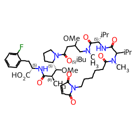 CC[C@H](C)C(C(CC(=O)N1CCC[C@H]1C(OC)[C@@H](C)C(=O)N[C@@H](Cc1ccccc1F)C(=O)O)OC)N(C)C(=O)[C@@H](NC(=O)C(C(C)C)N(C)C(=O)CCCCCN1C(=O)C=CC1=O)C(C)C